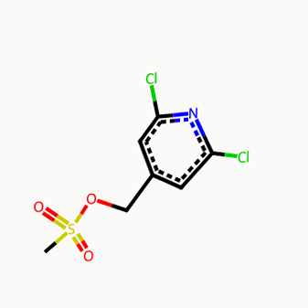 CS(=O)(=O)OCc1cc(Cl)nc(Cl)c1